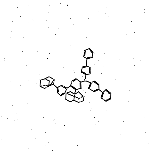 c1ccc(-c2ccc(N(c3ccc(-c4ccccc4)cc3)c3ccc(-c4cccc(C5C6CC7CC(C6)CC5C7)c4)c(C45CC6CCC4CCC(C6)C5)c3)cc2)cc1